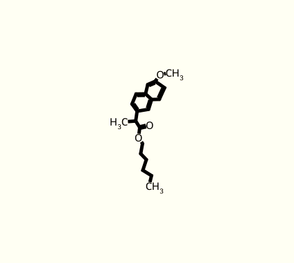 CCCCCCOC(=O)C(C)c1ccc2cc(OC)ccc2c1